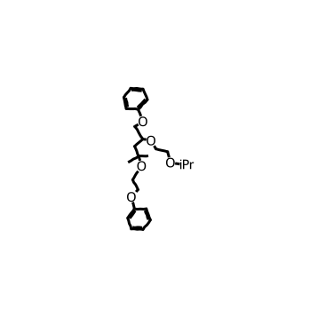 CC(C)OCCOC(COc1ccccc1)CC(C)(C)OCCOc1ccccc1